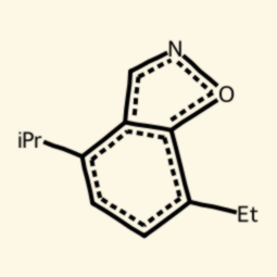 CCc1ccc(C(C)C)c2cnoc12